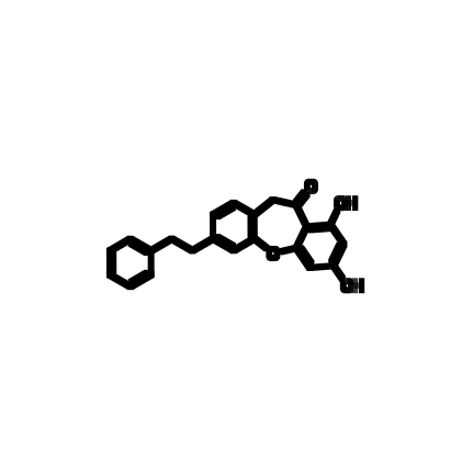 O=C1Cc2ccc(CCc3ccccc3)cc2Oc2cc(O)cc(O)c21